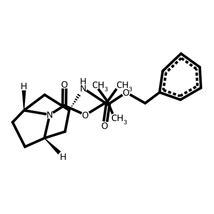 CC(C)(C)OC(=O)N1[C@@H]2CC[C@H]1C[C@@H](NC(=O)OCc1ccccc1)C2